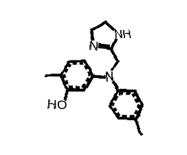 Cc1ccc(N(CC2=NCCN2)c2ccc(C)c(O)c2)cc1